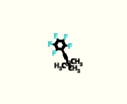 C[Si](C)(C)C#Cc1c(F)c(F)c(F)c(F)c1F